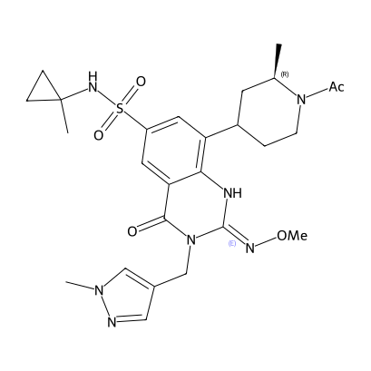 CO/N=c1\[nH]c2c(C3CCN(C(C)=O)[C@H](C)C3)cc(S(=O)(=O)NC3(C)CC3)cc2c(=O)n1Cc1cnn(C)c1